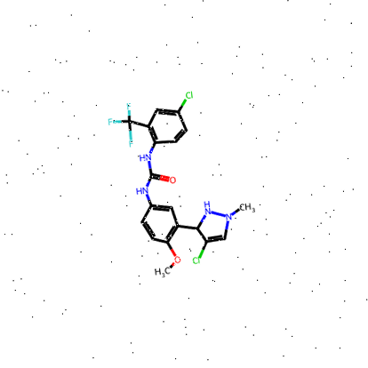 COc1ccc(NC(=O)Nc2ccc(Cl)cc2C(F)(F)F)cc1C1NN(C)C=C1Cl